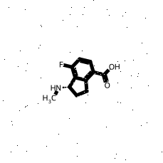 CN[C@H]1CCc2c(C(=O)O)ccc(F)c21